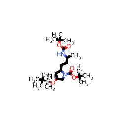 CC(CCC1CC(O[Si](C)(C)C(C)(C)C)CN1C(=O)OC(C)(C)C)NC(=O)OC(C)(C)C